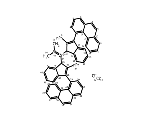 CCCC1=C(c2cccc3ccc4ccccc4c23)c2ccccc2[CH]1[Zr+2]([CH]1C(CCC)=C(c2cccc3ccc4ccccc4c23)c2ccccc21)=[Si](C)C.[Cl-].[Cl-]